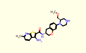 COC[C@H]1CNCCN1c1ccc2c(c1)OC[C@H](NC(=O)c1sc3nc(C)ccc3c1N)C2